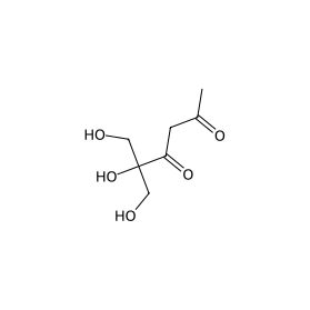 CC(=O)CC(=O)C(O)(CO)CO